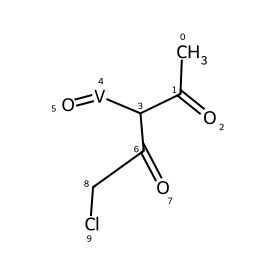 CC(=O)[CH]([V]=[O])C(=O)CCl